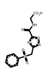 O=C(O)CNC(=O)c1nc(CS(=O)(=O)c2ccccc2)no1